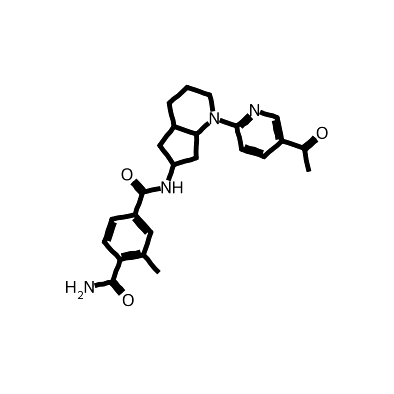 CC(=O)c1ccc(N2CCCC3CC(NC(=O)c4ccc(C(N)=O)c(C)c4)CC32)nc1